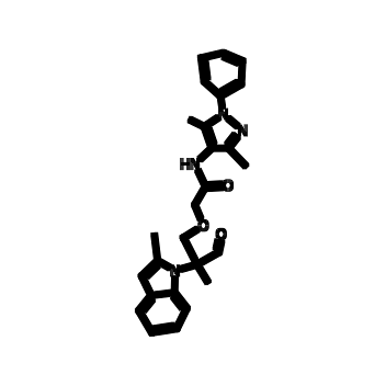 Cc1nn(-c2ccccc2)c(C)c1NC(=O)COCC(C)(C=O)n1c(C)cc2ccccc21